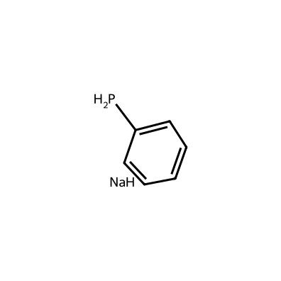 Pc1ccccc1.[NaH]